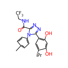 Cc1ccc(-n2c(C(=O)NCC(F)(F)F)nnc2-c2cc(C(C)C)c(O)cc2O)cc1